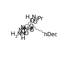 CCCCCCCCCCCCCCCCCC(=O)OCC(CCOC(=O)[C@@H](N)C(C)C)Cc1nc2nc(N)[nH]c(=O)c2[nH]1